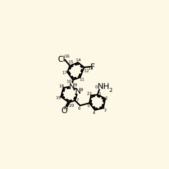 Nc1cccc(Cc2nn(-c3cc(F)cc(Cl)c3)ccc2=O)c1